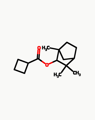 CC12CCC(C1)C(C)(C)C2OC(=O)C1CCC1